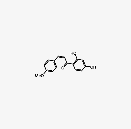 COc1ccc(/C=C\C(=O)c2ccc(O)cc2O)cc1